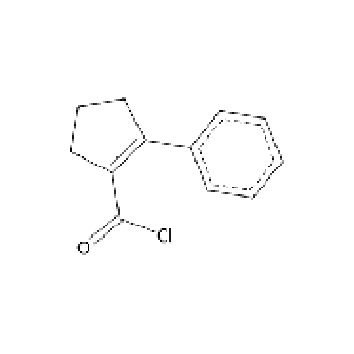 O=C(Cl)C1=C(c2ccccc2)CCC1